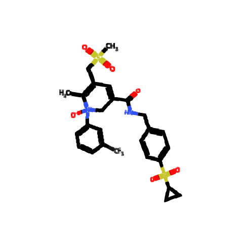 CC1=C(CS(C)(=O)=O)C=C(C(=O)NCc2ccc(S(=O)(=O)C3CC3)cc2)C[N+]1([O-])c1cccc(C(F)(F)F)c1